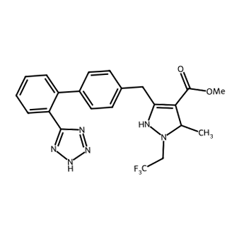 COC(=O)C1=C(Cc2ccc(-c3ccccc3-c3nn[nH]n3)cc2)NN(CC(F)(F)F)C1C